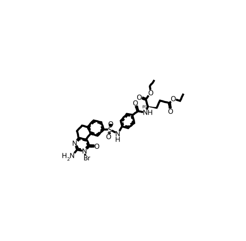 CCOC(=O)CC[C@@H](NC(=O)c1ccc(NS(=O)(=O)c2ccc3c(c2)-c2c(nc(N)n(Br)c2=O)CC3)cc1)C(=O)OCC